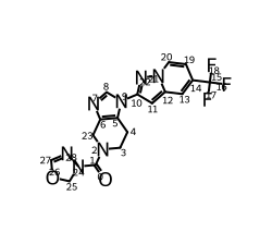 O=C(N1CCc2c(ncn2-c2cc3cc(C(F)(F)F)ccn3n2)C1)N1COC=N1